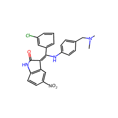 CN(C)Cc1ccc(NC(=C2C(=O)Nc3ccc([N+](=O)[O-])cc32)c2cccc(Cl)c2)cc1